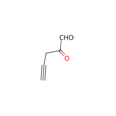 C#CCC(=O)[C]=O